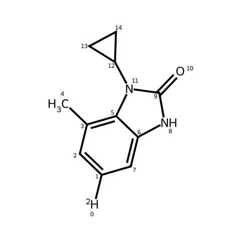 [2H]c1cc(C)c2c(c1)[nH]c(=O)n2C1CC1